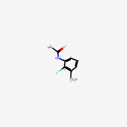 CCCC(=O)Nc1cccc(C(=O)O)c1F